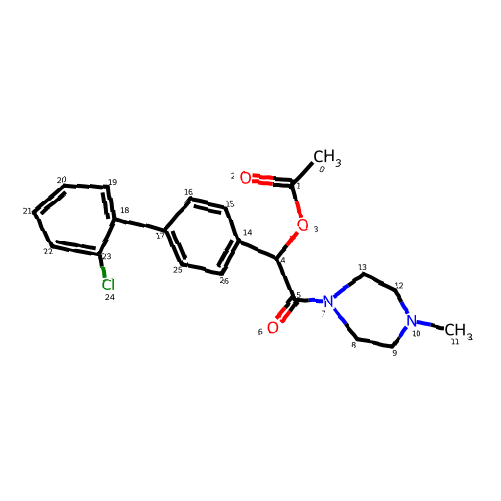 CC(=O)OC(C(=O)N1CCN(C)CC1)c1ccc(-c2ccccc2Cl)cc1